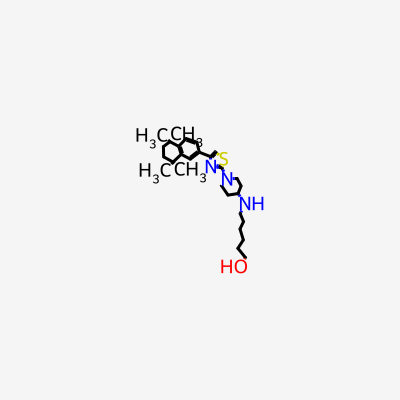 CC1(C)CCC(C)(C)c2cc(-c3csc(N4CCC(NCCCCCCO)CC4)n3)ccc21